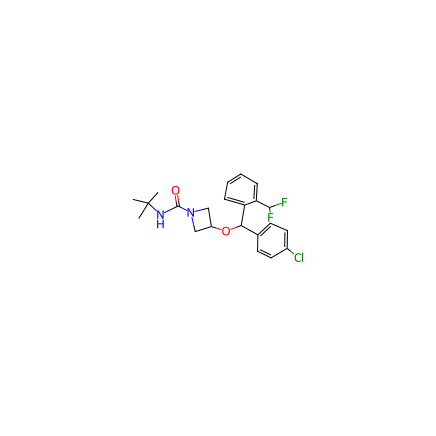 CC(C)(C)NC(=O)N1CC(OC(c2ccc(Cl)cc2)c2ccccc2C(F)F)C1